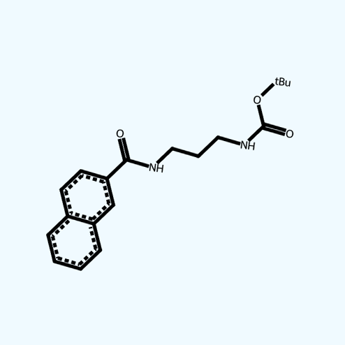 CC(C)(C)OC(=O)NCCCNC(=O)c1ccc2ccccc2c1